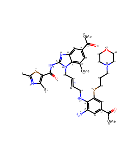 CCc1nc(C)sc1C(=O)Nc1nc2cc(C(=O)OC)cc(OC)c2n1C/C=C/CNc1c(N)cc(C(=O)OC)cc1SCCCN1CCOCC1